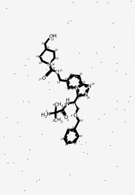 CC(C)(N)C(=O)N[C@H](COCc1ccccc1)c1nnc2ccc(COC(=O)N3CCC(CO)CC3)cn12